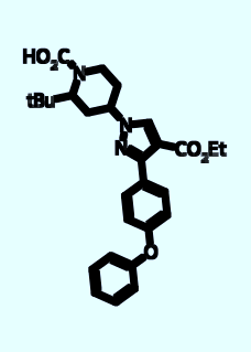 CCOC(=O)c1cn(C2CCN(C(=O)O)C(C(C)(C)C)C2)nc1-c1ccc(Oc2ccccc2)cc1